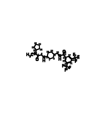 CN(C(=O)CNC1CCC(CNC(=O)c2cc(C(F)(F)F)cc(C(F)(F)F)c2)CC1)C1CCCC1